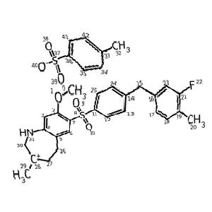 COc1cc2c(cc1S(=O)(=O)c1ccc(Cc3ccc(C)c(F)c3)cc1)CC[C+](C)CN2.Cc1ccc(S(=O)(=O)[O-])cc1